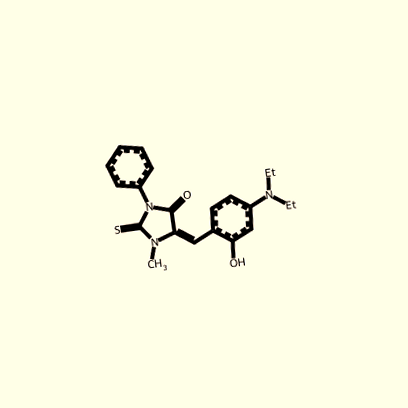 CCN(CC)c1ccc(/C=C2\C(=O)N(c3ccccc3)C(=S)N2C)c(O)c1